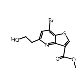 COC(=O)c1csc2c(Br)cc(CCO)nc12